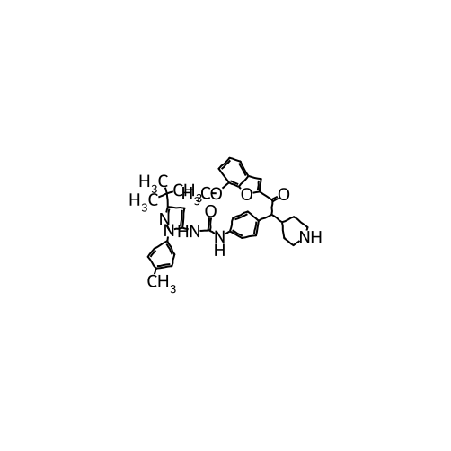 COc1cccc2cc(C(=O)C(c3ccc(NC(=O)Nc4cc(C(C)(C)C)nn4-c4ccc(C)cc4)cc3)C3CCNCC3)oc12